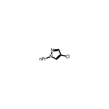 CCCn1cc(Cl)[c]n1